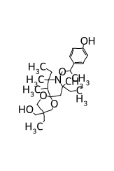 CCC1(CO)COC2(CC(C)(CC)N(OC(C)c3ccc(O)cc3)C(C)(CC)C2C)OC1